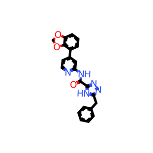 O=C(Nc1cc(-c2cccc3c2OCO3)ccn1)c1nnc(Cc2ccccc2)[nH]1